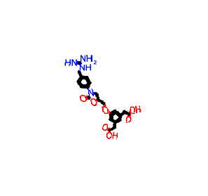 N=C(N)NCc1ccc(N2CC(COc3cc(CC(=O)O)cc(CC(=O)O)c3)OC2=O)cc1